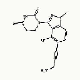 Cn1nc(N2CCC(=O)NC2=O)c2c(Cl)c(C#CCN)ccc21